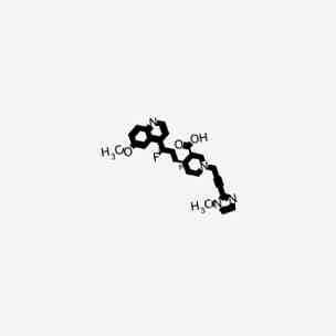 COc1ccc2nccc([C@H](F)CC[C@@H]3CCN(CC#Cc4nccn4C)C[C@@H]3C(=O)O)c2c1